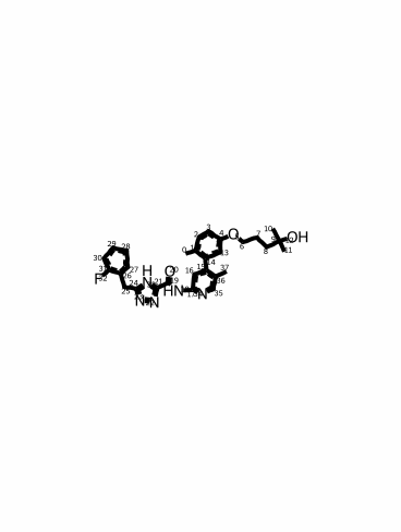 Cc1ccc(OCCCC(C)(C)O)cc1-c1cc(NC(=O)c2nnc(Cc3ccccc3F)[nH]2)ncc1C